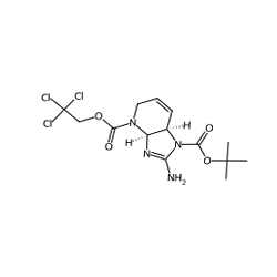 CC(C)(C)OC(=O)N1C(N)=N[C@@H]2[C@H]1C=CCN2C(=O)OCC(Cl)(Cl)Cl